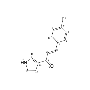 O=C(C=Cc1ccc(F)cc1)c1cc[nH]n1